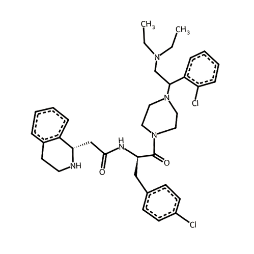 CCN(CC)CC(c1ccccc1Cl)N1CCN(C(=O)[C@@H](Cc2ccc(Cl)cc2)NC(=O)C[C@@H]2NCCc3ccccc32)CC1